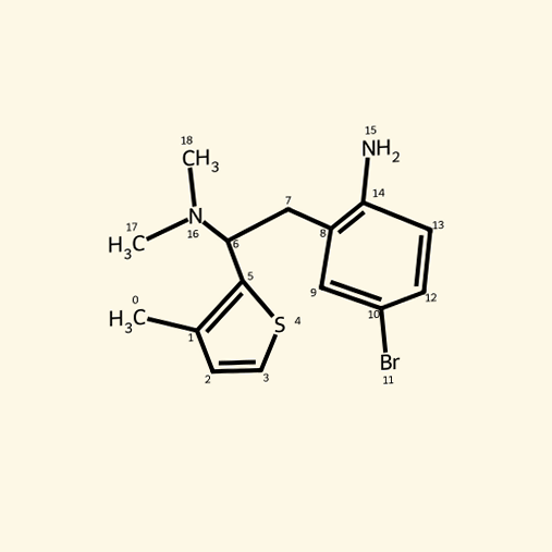 Cc1ccsc1C(Cc1cc(Br)ccc1N)N(C)C